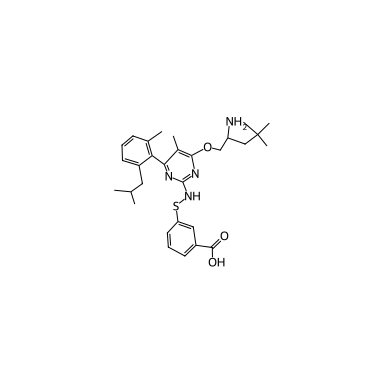 Cc1cccc(CC(C)C)c1-c1nc(NSc2cccc(C(=O)O)c2)nc(OCC(N)CC(C)(C)C)c1C